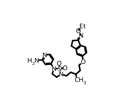 CCO/N=C1\CCc2cc(OCCC(C)CCN3CCN(c4ccnc(N)c4)S3(=O)=O)ccc21